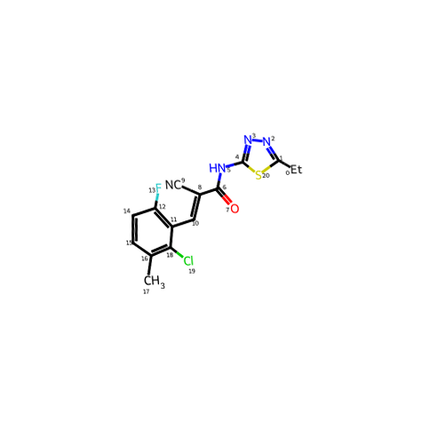 CCc1nnc(NC(=O)C(C#N)=Cc2c(F)ccc(C)c2Cl)s1